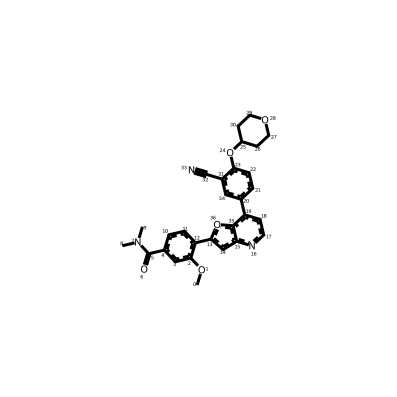 COc1cc(C(=O)N(C)C)ccc1-c1cc2nccc(-c3ccc(OC4CCOCC4)c(C#N)c3)c2o1